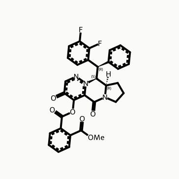 COC(=O)c1ccccc1C(=O)Oc1c2n(ncc1=O)[C@@H]([C@H](c1ccccc1)c1cccc(F)c1F)[C@H]1CCCN1C2=O